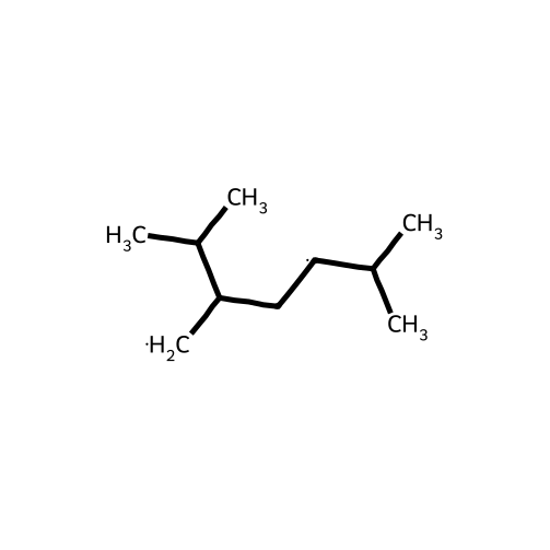 [CH2]C(C[CH]C(C)C)C(C)C